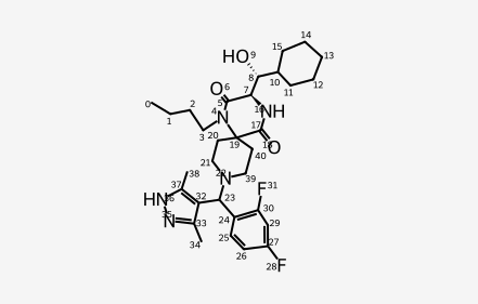 CCCCN1C(=O)[C@@H]([C@H](O)C2CCCCC2)NC(=O)C12CCN(C(c1ccc(F)cc1F)c1c(C)n[nH]c1C)CC2